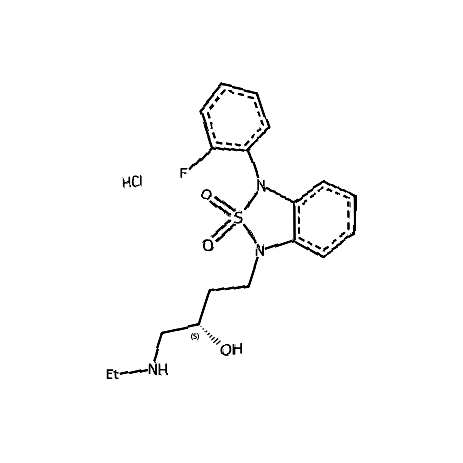 CCNC[C@@H](O)CCN1c2ccccc2N(c2ccccc2F)S1(=O)=O.Cl